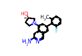 Cc1cccc(F)c1-c1cc(N2CC[C@@H](O)C2)c2cc(N)ncc2c1